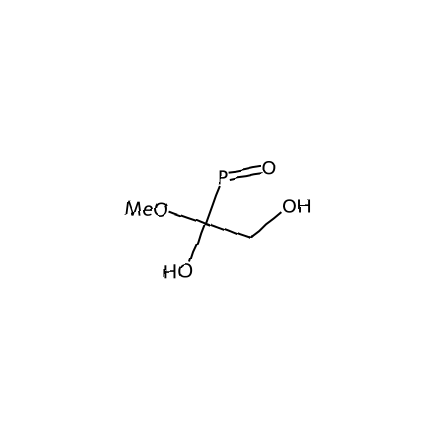 COC(O)(CO)P=O